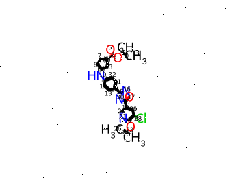 CC(C)OC(=O)[C@@H]1CC[C@H](Nc2ccc(-c3noc(-c4cnc(OC(C)C)c(Cl)c4)n3)cc2)C1